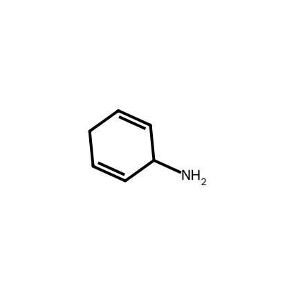 NC1C=CCC=C1